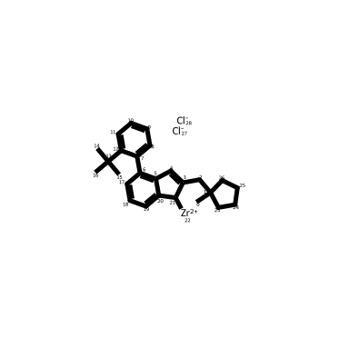 CC1(CC2=Cc3c(-c4ccccc4C(C)(C)C)cccc3[CH]2[Zr+2])CCCC1.[Cl-].[Cl-]